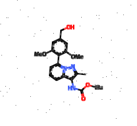 COc1cc(CO)cc(OC)c1-c1cccc2c(NC(=O)OC(C)(C)C)c(C)nn12